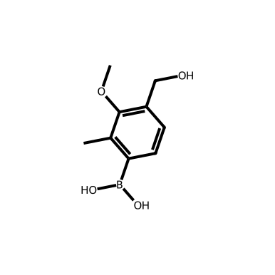 COc1c(CO)ccc(B(O)O)c1C